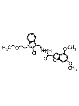 CCOCCn1c(Cl)c(C=NNC(=O)c2cc3c(OC)cc(OC)cc3o2)c2ccccc21